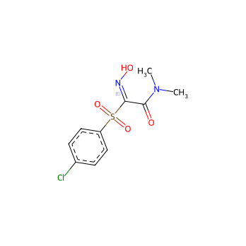 CN(C)C(=O)/C(=N\O)S(=O)(=O)c1ccc(Cl)cc1